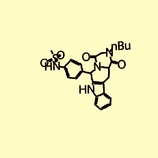 CCCCN1CC(=O)N2C(Cc3c([nH]c4ccccc34)C2c2ccc(NS(C)(=O)=O)cc2)C1=O